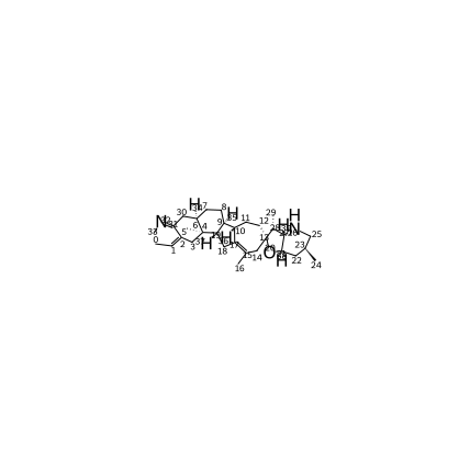 C/C=C1/C[C@@]2(C)[C@H](CC[C@H]3[C@@H]4CC[C@@]5(CC(C)=C4C[C@@H]32)O[C@@H]2C[C@H](C)CN[C@H]2[C@H]5C)C/C1=N/C